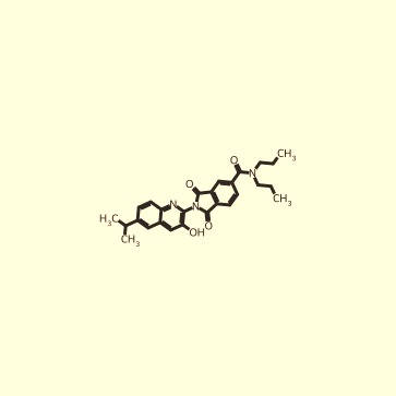 CCCN(CCC)C(=O)c1ccc2c(c1)C(=O)N(c1nc3ccc(C(C)C)cc3cc1O)C2=O